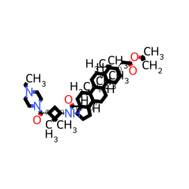 C=C(C)OC(=O)C[C@@H]1CC[C@]2(C)[C@H](CC[C@]3(C)[C@@H]2CC[C@@H]2[C@H]4CCC[C@]4(C(=O)N[C@H]4C[C@@H](C(=O)N5CCN(CC)CC5)C4(C)C)CC[C@]23C)C1(C)C